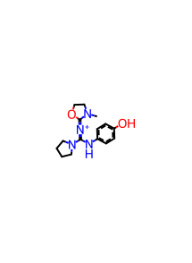 CN1CCOC1=[N+]=C(Nc1ccc(O)cc1)N1CCCC1